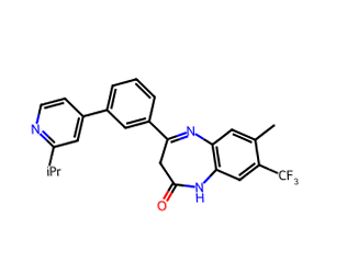 Cc1cc2c(cc1C(F)(F)F)NC(=O)CC(c1cccc(-c3ccnc(C(C)C)c3)c1)=N2